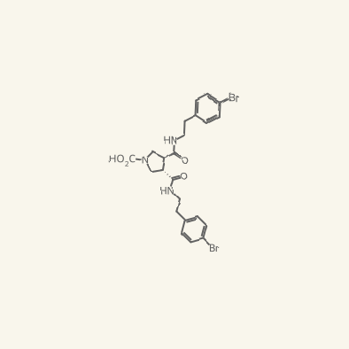 O=C(NCCc1ccc(Br)cc1)[C@@H]1CN(C(=O)O)C[C@H]1C(=O)NCCc1ccc(Br)cc1